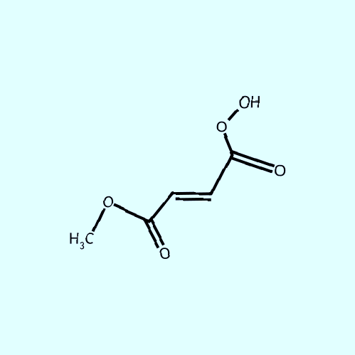 COC(=O)C=CC(=O)OO